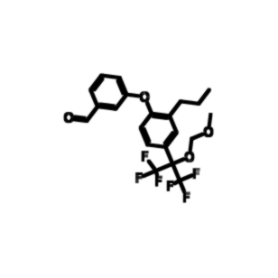 CCCc1cc(C(OCOC)(C(F)(F)F)C(F)(F)F)ccc1Oc1cccc(C=O)c1